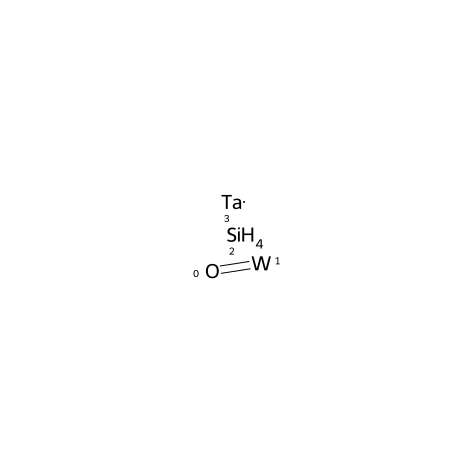 [O]=[W].[SiH4].[Ta]